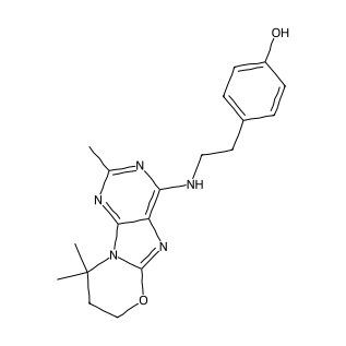 Cc1nc(NCCc2ccc(O)cc2)c2nc3n(c2n1)C(C)(C)CCO3